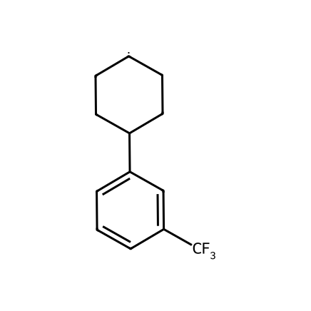 FC(F)(F)c1cccc(C2CC[CH]CC2)c1